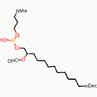 CCCCCCCCCCCCCCCCCCCCC(COP(O)OCCCNC)OC=O